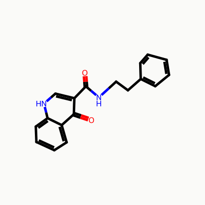 O=C(NCCc1ccccc1)c1c[nH]c2ccccc2c1=O